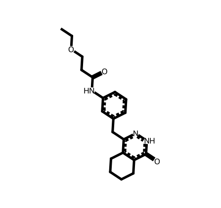 CCOCCC(=O)Nc1cccc(Cc2n[nH]c(=O)c3c2CCCC3)c1